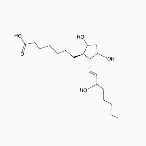 CCCCCC(O)C=C[C@H]1C(O)CC(O)[C@@H]1CCCCCCC(=O)O